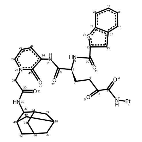 CCNC(=O)C(=O)CC[C@H](NC(=O)c1cc2ccccc2s1)C(=O)Nc1cccn(CC(=O)NC2C3CC4CC(C3)CC2C4)c1=O